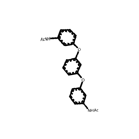 CC(=O)Nc1cccc(Oc2cccc(Oc3cccc(NC(C)=O)c3)c2)c1